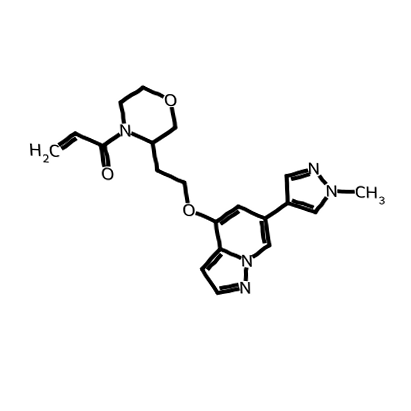 C=CC(=O)N1CCOCC1CCOc1cc(-c2cnn(C)c2)cn2nccc12